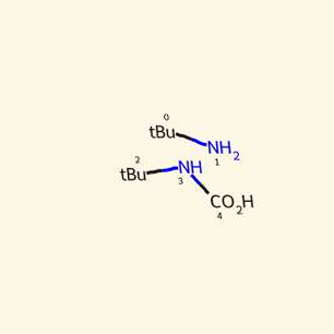 CC(C)(C)N.CC(C)(C)NC(=O)O